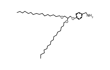 CCCCCCCCCCCCCCCCOCC(COc1ccc(CN)cc1)OCCCCCCCCCCCCCCCC